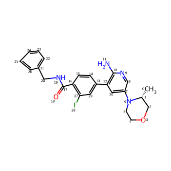 C[C@@H]1COCCN1c1cnc(N)c(-c2ccc(C(=O)NCc3ccccc3)c(F)c2)c1